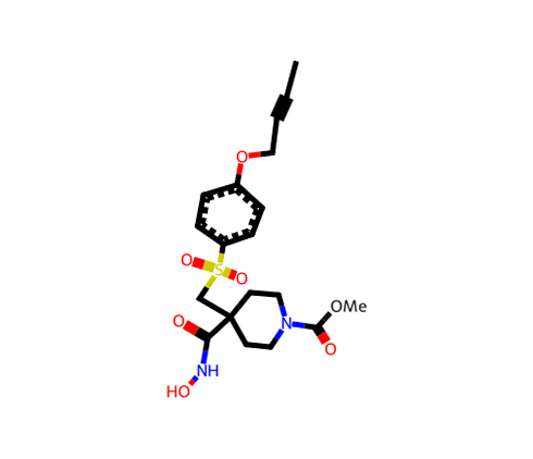 CC#CCOc1ccc(S(=O)(=O)CC2(C(=O)NO)CCN(C(=O)OC)CC2)cc1